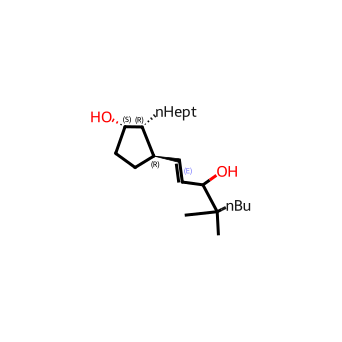 CCCCCCC[C@H]1[C@@H](O)CC[C@@H]1/C=C/C(O)C(C)(C)CCCC